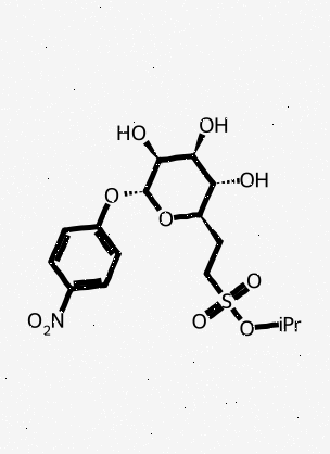 CC(C)OS(=O)(=O)CC[C@H]1O[C@H](Oc2ccc([N+](=O)[O-])cc2)[C@@H](O)[C@@H](O)[C@@H]1O